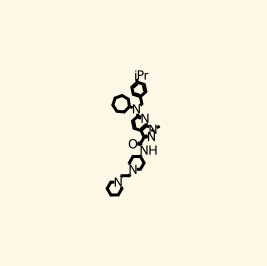 CC(C)c1ccc(CN(c2ccc3c(C(=O)NC4CCN(CCN5CCCCC5)CC4)nn(C)c3n2)C2CCCCCC2)cc1